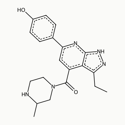 CCc1n[nH]c2nc(-c3ccc(O)cc3)cc(C(=O)N3CCNC(C)C3)c12